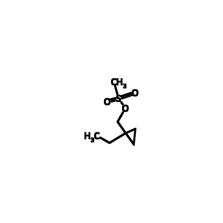 CCC1(COS(C)(=O)=O)CC1